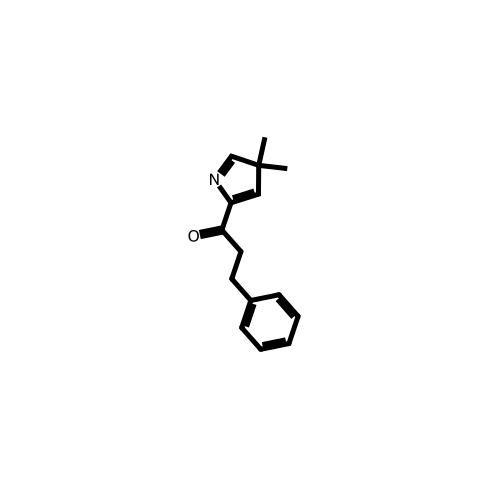 CC1(C)C=NC(C(=O)CCc2ccccc2)=C1